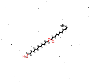 CCCC/C=C\CCCCCCCC(=O)OCCCCCCCCCCCCO